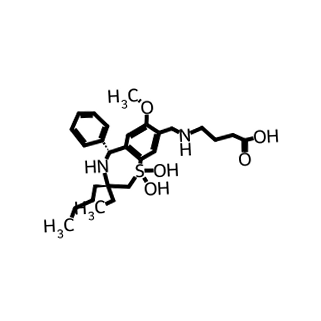 CCCC[C@]1(CC)CS(O)(O)c2cc(CNCCCC(=O)O)c(OC)cc2[C@@H](c2ccccc2)N1